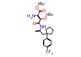 C=C(CC1(c2ccc(C(F)(F)F)cc2)CCCC1)NC(=O)/C(OCCCC)=C(\N)C(=O)OC(C)(C)C